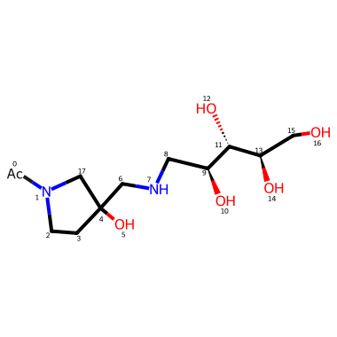 CC(=O)N1CCC(O)(CNC[C@H](O)[C@H](O)[C@H](O)CO)C1